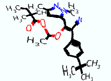 CCC(C)(C)C(=O)OC(C)O/C(=C(/C#N)c1ccc(C(C)(C)C)cc1)c1cc(C)nn1C